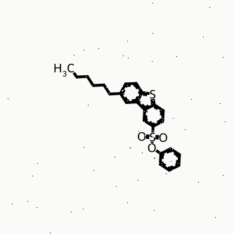 CCCCCCc1ccc2sc3ccc(S(=O)(=O)Oc4ccccc4)cc3c2c1